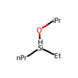 CCC[SiH](CC)OC(C)C